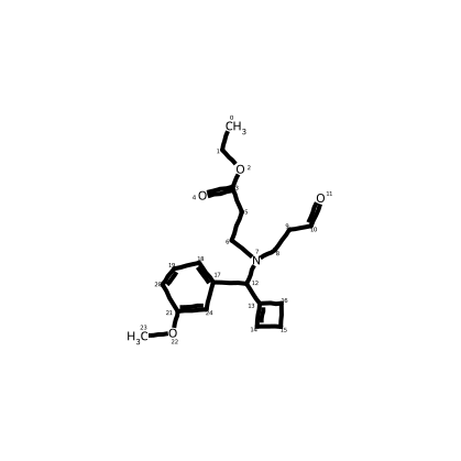 CCOC(=O)CCN(CCC=O)C(C1=CCC1)c1cccc(OC)c1